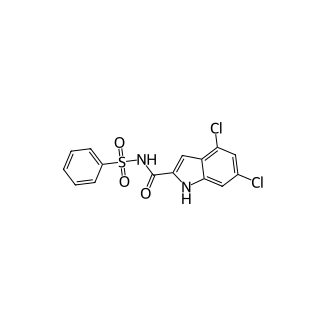 O=C(NS(=O)(=O)c1ccccc1)c1cc2c(Cl)cc(Cl)cc2[nH]1